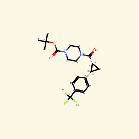 CC(C)(C)OC(=O)N1CCN(C(=O)[C@@H]2C[C@@H]2c2ccc(C(F)(F)F)cc2)CC1